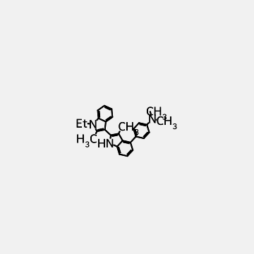 CCn1c(C)c(-c2[nH]c3cccc(-c4ccc(N(C)C)cc4)c3c2C)c2ccccc21